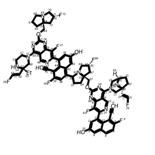 C#Cc1c(F)ccc2cc(O)cc(-c3ncc4c(N5C[C@H]6CC[C@@](/C=C/F)(C5)N6)nc(OC[C@@]56CCC(c7cc(F)c(C#C)c8c(-c9ncc%10c(N%11CCN[C@](/C=C/F)(CC)C%11)nc(OC[C@@]%11%12CCCN%11C[C@H](F)C%12)nc%10c9F)cc(O)cc78)N5C[C@H](F)C6)nc4c3F)c12